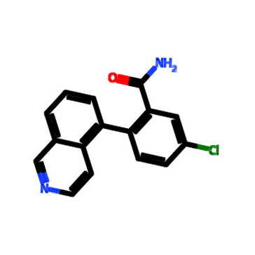 NC(=O)c1cc(Cl)ccc1-c1cccc2cnccc12